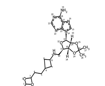 CC1OC(CCC2CC(NC[C@H]3O[C@@H](n4cnc5c(N)ncnc54)[C@@H]4OC(C)(C)O[C@@H]43)C2)O1